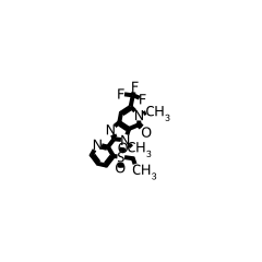 CCS(=O)(=O)c1cccnc1-c1nc2cc(C(F)(F)F)n(C)c(=O)c2n1C